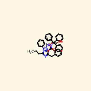 CCCc1nc(Cc2ccccc2-c2nnnn2C(c2ccccc2)(c2ccccc2)c2ccccc2)c(C(=O)OC(C)CO)n1-c1ccccc1